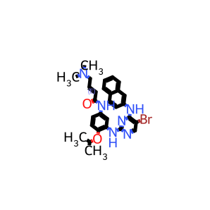 CC(C)Oc1ccc(NC(=O)/C=C/CN(C)C)cc1Nc1ncc(Br)c(Nc2ccc3ccccc3c2)n1